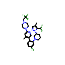 Cc1cc(N2CCN(CC(F)(F)F)CC2)ncc1-c1ccc(Cl)cc1N1CCCC(n2ncc(C)c2C(F)F)C1